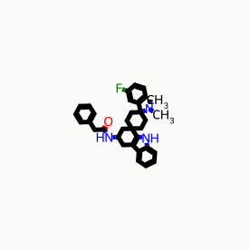 CN(C)C1(c2cccc(F)c2)CCC2(CC1)CC(NC(=O)Cc1ccccc1)Cc1c2[nH]c2ccccc12